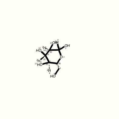 [2H]C1(O)O[C@H](CO)[C@@]([2H])(O)[C@]([2H])(O)[C@@]1([2H])O